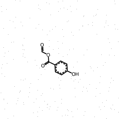 O=COC(=O)c1ccc(O)cc1